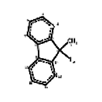 CC1(I)c2ncccc2-c2cccnc21